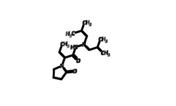 CCC(C(=O)NN(CC(C)C)CC(C)C)N1CCCC1=O